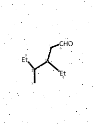 CCC(C)C(CC)CC=O